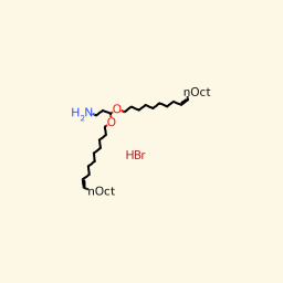 Br.CCCCCCCC/C=C\CCCCCCCCOC(CCN)OCCCCCCCC/C=C\CCCCCCCC